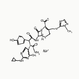 Cn1nnnc1SCC1=C(C(=O)[O-])N2C(=O)C(NC(=O)C(c3ccc(O)cc3)N(C(N)=O)c3cnc(NC4CC4)nc3O)[C@@H]2SC1.[Na+]